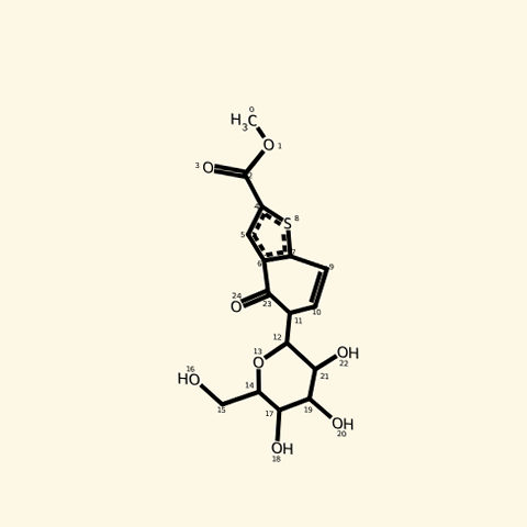 COC(=O)c1cc2c(s1)C=CC(C1OC(CO)C(O)C(O)C1O)C2=O